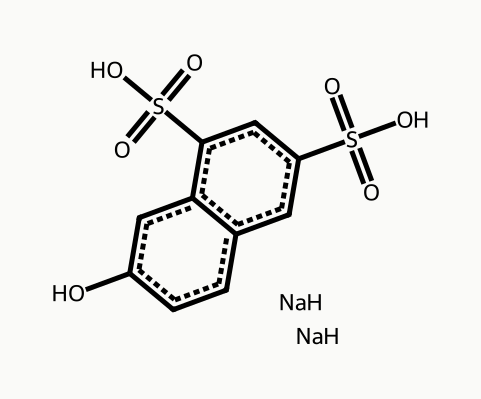 O=S(=O)(O)c1cc(S(=O)(=O)O)c2cc(O)ccc2c1.[NaH].[NaH]